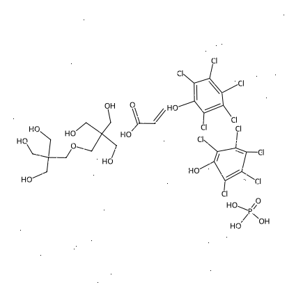 C=CC(=O)O.O=P(O)(O)O.OCC(CO)(CO)COCC(CO)(CO)CO.Oc1c(Cl)c(Cl)c(Cl)c(Cl)c1Cl.Oc1c(Cl)c(Cl)c(Cl)c(Cl)c1Cl